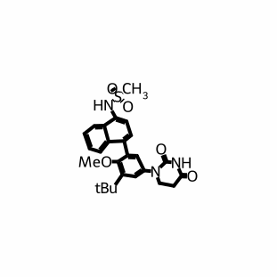 COc1c(-c2ccc(NS(C)(=O)=O)c3ccccc23)cc(N2CCC(=O)NC2=O)cc1C(C)(C)C